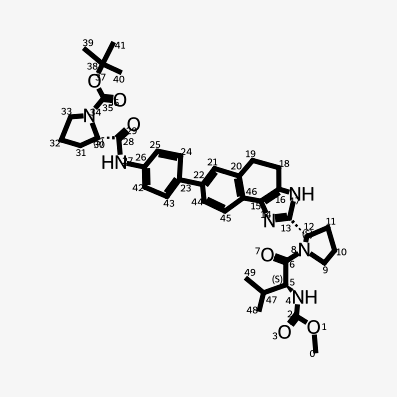 COC(=O)N[C@H](C(=O)N1CCC[C@H]1c1nc2c([nH]1)CCc1cc(-c3ccc(NC(=O)[C@@H]4CCCN4C(=O)OC(C)(C)C)cc3)ccc1-2)C(C)C